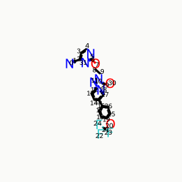 N#Cc1ccnc(OCCn2nc3ccc(-c4ccc(OC(F)(F)F)cc4)cn3c2=O)n1